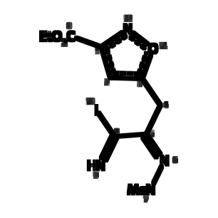 CCOC(=O)c1cc(C/C(=N/NC)C(=N)I)on1